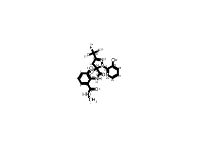 CNC(=O)c1cccc(C)c1NC(=O)C1(O)CC(C(F)(F)F)=NN1c1ncccc1Cl